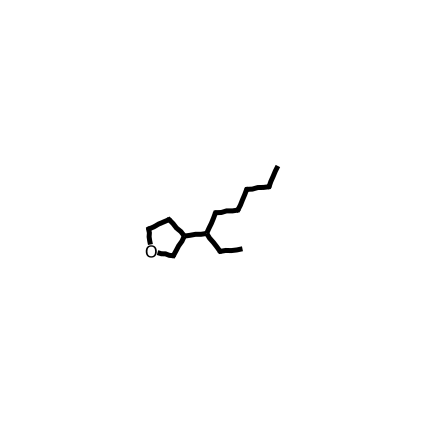 CCCCCC(CC)C1CCOC1